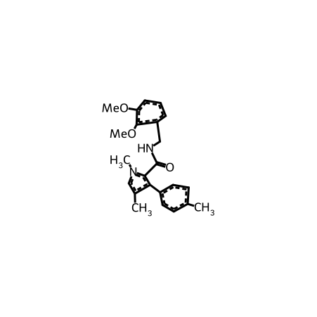 COc1cccc(CNC(=O)c2c(-c3ccc(C)cc3)c(C)cn2C)c1OC